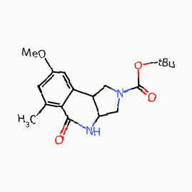 COc1cc(C)c2c(c1)C1CN(C(=O)OC(C)(C)C)CC1NC2=O